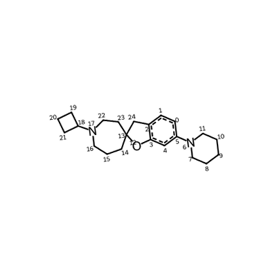 c1cc2c(cc1N1CCCCC1)OC1(CCCN(C3CCC3)CC1)C2